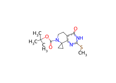 CSc1nc2c(c(=O)[nH]1)CCN(C(=O)OC(C)(C)C)C21CC1